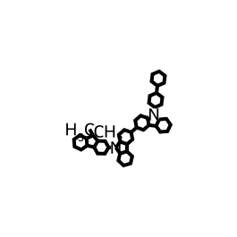 CC1(C)C2CCCCC2C2CCC(N3C4CCCCC4C4CC(C5CCC6C(C5)C5CCCCC5N6C5CCC(C6CCCCC6)CC5)CCC43)CC21